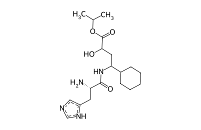 CC(C)OC(=O)C(O)CC(NC(=O)[C@@H](N)Cc1cnc[nH]1)C1CCCCC1